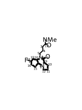 CNC(=O)CCCn1c(=O)c2cccn2c2ccc(F)cc21